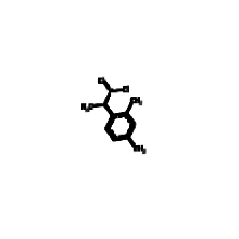 Cc1ccc(C(C)P(Cl)Cl)c(C)c1